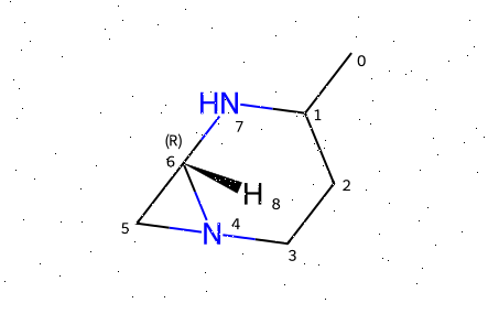 CC1CCN2C[C@@H]2N1